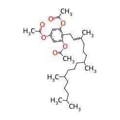 CC(=O)Oc1cc(OC(C)=O)c(C/C=C(\C)CCCC(C)CCCC(C)CCCC(C)C)c(OC(C)=O)c1